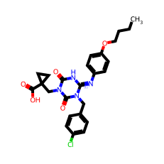 CCCCOc1ccc(/N=c2\[nH]c(=O)n(CC3(C(=O)O)CC3)c(=O)n2Cc2ccc(Cl)cc2)cc1